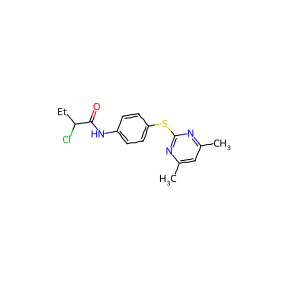 CCC(Cl)C(=O)Nc1ccc(Sc2nc(C)cc(C)n2)cc1